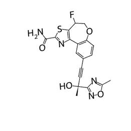 Cc1nc([C@](C)(O)C#Cc2ccc3c(c2)-c2nc(C(N)=O)sc2C(F)CO3)no1